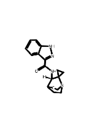 O=C(N[C@H]1C2CCN(CC2)C12CC2)c1n[nH]c2ccccc12